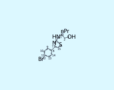 CCC[C@H](CO)Nc1nc(-c2ccc(Br)cc2)cs1